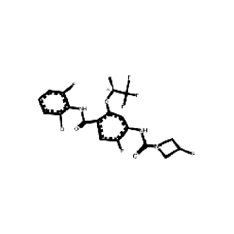 C[C@H](Oc1cc(NC(=O)N2CC(F)C2)c(F)cc1C(=O)Nc1c(F)cccc1Cl)C(F)(F)F